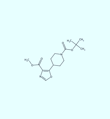 COC(=O)c1ncoc1C1CCN(C(=O)OC(C)(C)C)CC1